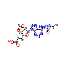 CCNC(=O)Nc1ncnc2c1ncn2C1OC(CCC(=O)O)C2OCOC21